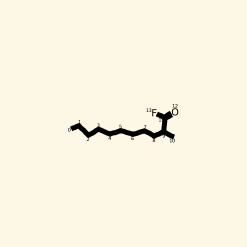 CCCCCCCCCC(C)C(=O)F